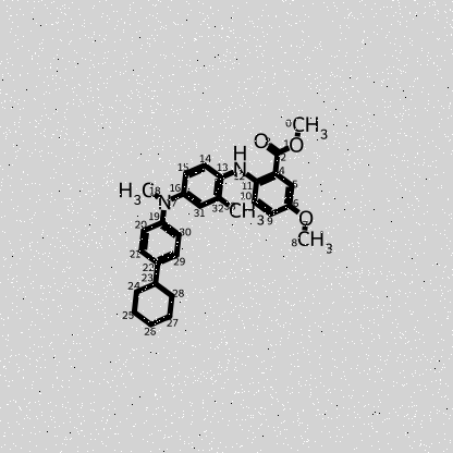 COC(=O)c1cc(OC)ccc1Nc1ccc(N(C)c2ccc(C3CCCCC3)cc2)cc1C